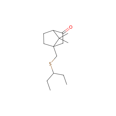 CCC(CC)SCC12CCC(C(=O)C1)C2(C)C